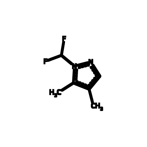 Cc1cnn(C(F)F)c1C